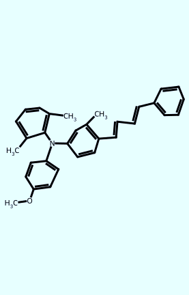 COc1ccc(N(c2ccc(/C=C/C=C/c3ccccc3)c(C)c2)c2c(C)cccc2C)cc1